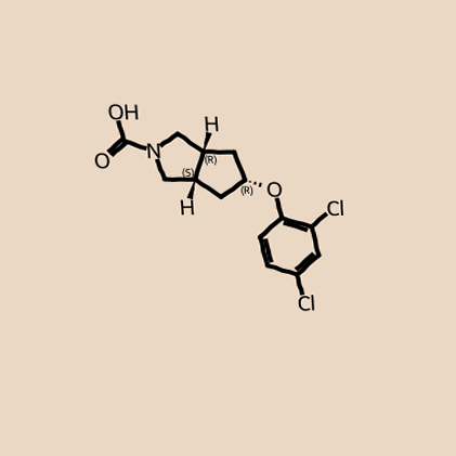 O=C(O)N1C[C@H]2C[C@@H](Oc3ccc(Cl)cc3Cl)C[C@H]2C1